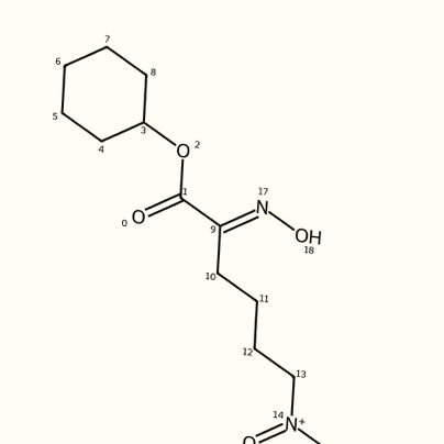 O=C(OC1CCCCC1)C(CCCC[N+](=O)[O-])=NO